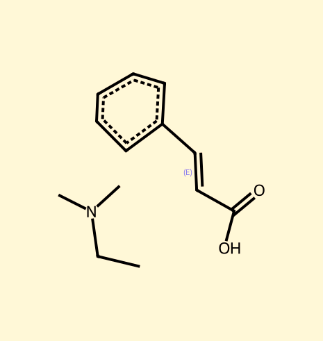 CCN(C)C.O=C(O)/C=C/c1ccccc1